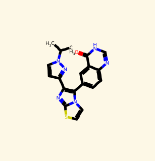 CC(C)n1ccc(-c2nc3sccn3c2-c2ccc3nc[nH]c(=O)c3c2)n1